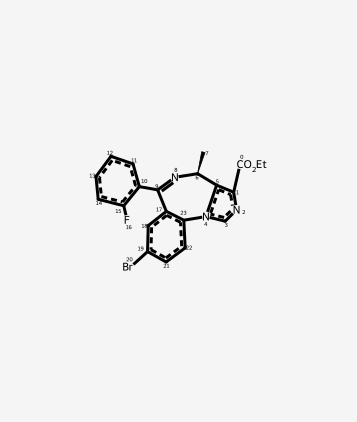 CCOC(=O)c1ncn2c1[C@H](C)N=C(c1ccccc1F)c1cc(Br)ccc1-2